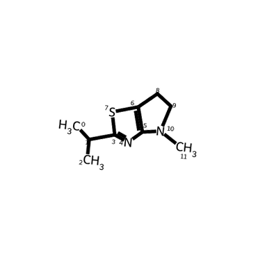 CC(C)c1nc2c(s1)CCN2C